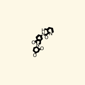 Cc1cccnc1C(=O)Nc1ccc2c(c1)CN(C1CCC(=O)CC1=O)C2=O